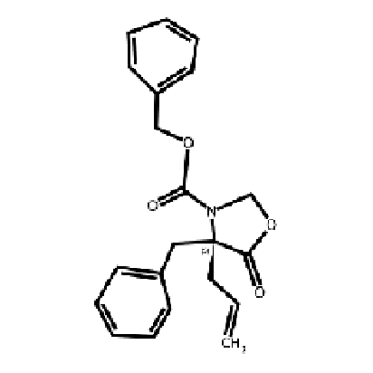 C=CC[C@]1(Cc2ccccc2)C(=O)OCN1C(=O)OCc1ccccc1